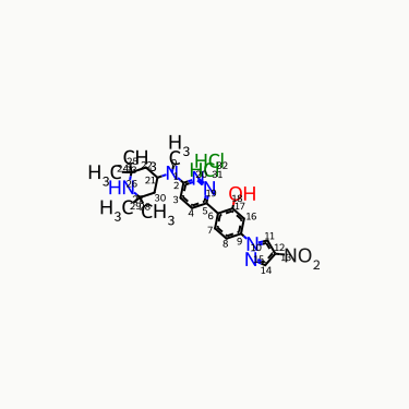 CN(c1ccc(-c2ccc(-n3cc([N+](=O)[O-])cn3)cc2O)nn1)C1CC(C)(C)NC(C)(C)C1.Cl.Cl